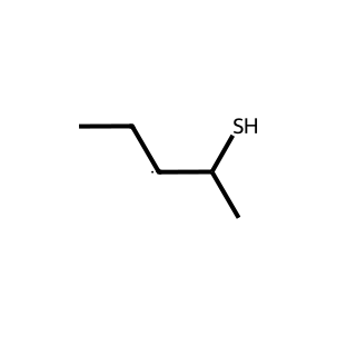 CC[CH]C(C)S